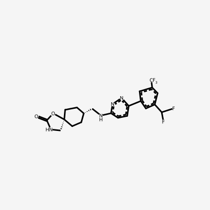 O=C1NC[C@]2(CC[C@@H](CNc3ccc(-c4cc(C(F)F)cc(C(F)(F)F)c4)nn3)CC2)O1